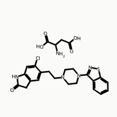 NC(CC(=O)O)C(=O)O.O=C1Cc2cc(CCN3CCN(c4nsc5ccccc45)CC3)c(Cl)cc2N1